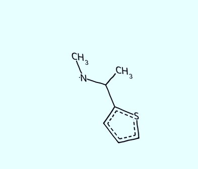 C[N]C(C)c1cccs1